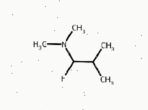 CC(C)C(F)N(C)C